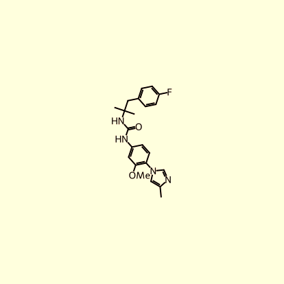 COc1cc(NC(=O)NC(C)(C)Cc2ccc(F)cc2)ccc1-n1cnc(C)c1